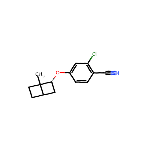 CC12CCC1C[C@H]2Oc1ccc(C#N)c(Cl)c1